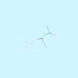 CC(O)C(C)O[PH](O)(O)O